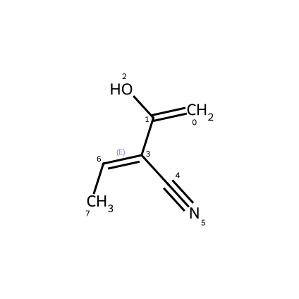 C=C(O)/C(C#N)=C/C